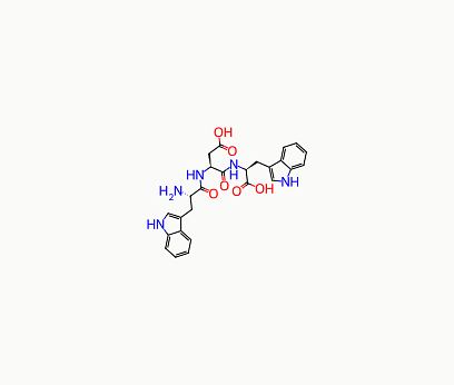 N[C@@H](Cc1c[nH]c2ccccc12)C(=O)N[C@@H](CC(=O)O)C(=O)N[C@@H](Cc1c[nH]c2ccccc12)C(=O)O